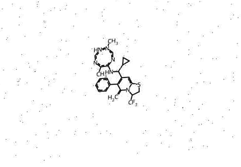 C=C1C(c2ccccc2)=C(C(Nc2ncn(C)[nH]cnc2C)C2CC2)C=C2SCC(C(F)(F)F)N12